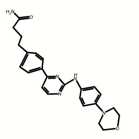 NC(=O)CCCc1ccc(-c2ccnc(Nc3ccc(N4CCOCC4)cc3)n2)cc1